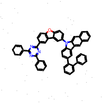 C1=CC(c2nc(-c3ccccc3)nc(-c3ccc4oc5ccc(-n6c7ccc(-c8ccccc8-c8ccccc8)cc7c7cc8ccccc8cc76)cc5c4c3)n2)=CCC1